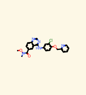 CON(C)C(=O)c1ccc2ncnc(Nc3ccc(OCc4ccccn4)c(Cl)c3)c2c1